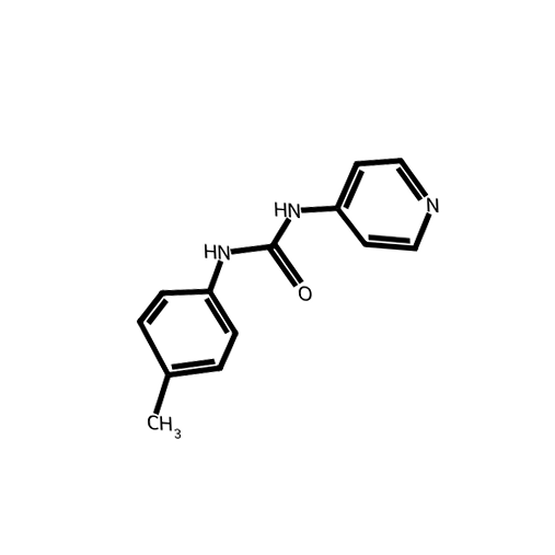 Cc1ccc(NC(=O)Nc2ccncc2)cc1